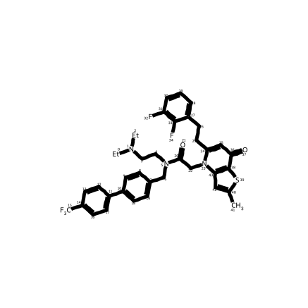 CCN(CC)CCN(Cc1ccc(-c2ccc(C(F)(F)F)cc2)cc1)C(=O)Cn1c(CCc2cccc(F)c2F)cc(=O)c2sc(C)cc21